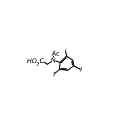 CC(=O)N(CC(=O)O)c1c(I)cc(I)cc1I